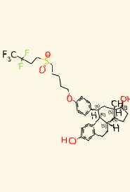 C[C@]12C[C@H](c3ccc(OCCCCCS(=O)(=O)CCC(F)(F)C(F)(F)F)cc3)[C@@H]3c4ccc(O)cc4CC[C@H]3[C@@H]1CC[C@@H]2O